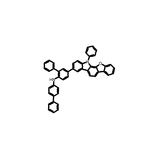 c1ccc(-c2ccc(Nc3ccc(-c4ccc5c(c4)c4ccc6c7ccccc7oc6c4n5-c4ccccc4)cc3-c3ccccc3)cc2)cc1